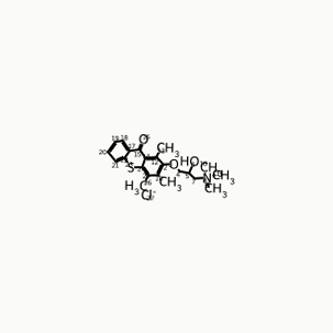 Cc1c(OCC(O)C[N+](C)(C)C)c(C)c2c(=O)c3ccccc3sc2c1C.[Cl-]